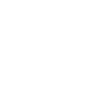 c1ccc(-c2c3ccccc3c(-c3ccc4oc5c(-c6c7ccccc7c(C7CCCCC7)c7ccccc67)cccc5c4c3)c3ccccc23)cc1